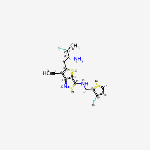 C#Cc1c(C[C@@H](N)[C@H](C)F)sc2c(NCc3sccc3F)snc12